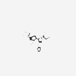 COc1ccc(-c2nn(C(=O)CI)cc2Oc2ccccc2Cl)c(OC)c1